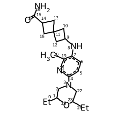 CCC1CN(c2ccc(NC3CC4(C3)CC(C(N)=O)C4)c(C)n2)CC(CC)O1